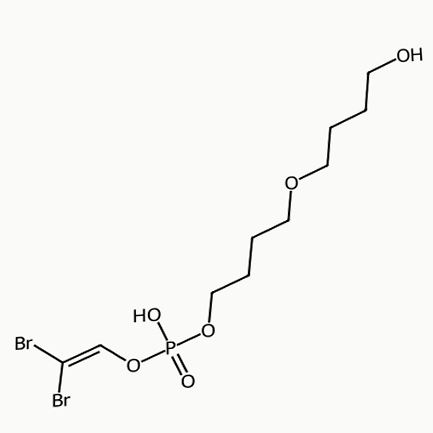 O=P(O)(OC=C(Br)Br)OCCCCOCCCCO